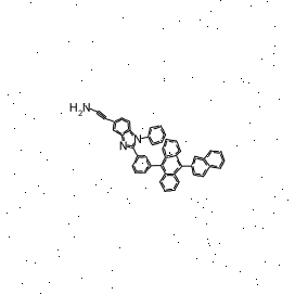 NC#Cc1ccc2c(c1)nc(-c1cccc(-c3c4ccccc4c(-c4ccc5ccccc5c4)c4ccccc34)c1)n2-c1ccccc1